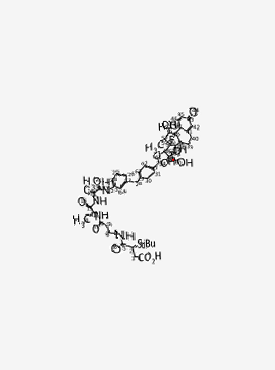 CCC(C)SC(CC(=O)O)C(=O)NCCC(=O)N[C@@H](C)C(=O)N[C@@H](C)C(=O)Nc1cccc(Cc2ccc([C@@H]3O[C@@H]4CC5[C@@H]6CCC7=CC(=O)C=C[C@]7(C)[C@@]6(F)[C@@H](O)C[C@]5(C)[C@]4(C(=O)CO)O3)cc2)c1